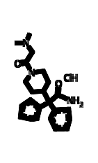 CN(C)CC(=O)N1CCC(C(C(N)=O)(c2ccccc2)c2ccccc2)CC1.Cl